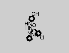 O=C(N[C@H](Cc1ccc(Cl)cc1)c1nc2ccccc2[nH]1)N[C@H]1CC[C@H](O)CC1